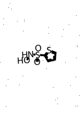 O=S(=O)(NO)c1cccs1